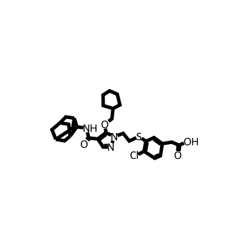 O=C(O)Cc1ccc(Cl)c(SCCn2ncc(C(=O)NC3C4CC5CC(C4)CC3C5)c2OCC2CCCCC2)c1